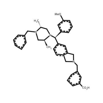 COc1cccc([C@@H](c2ccc3c(c2)CN(Cc2cccc(C(=O)O)c2)C3)N2C[C@@H](C)N(Cc3ccccc3)C[C@@H]2C)c1